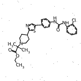 CCOC(=O)C(C)(C)N1CCC(c2ncc(-c3ccc(NC(=O)Nc4ccccc4Cl)cc3)s2)CC1